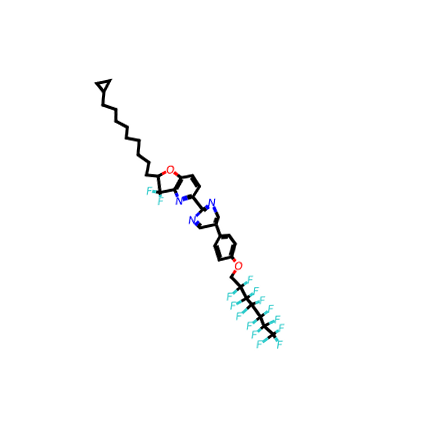 FC1(F)c2nc(-c3ncc(-c4ccc(OCC(F)(F)C(F)(F)C(F)(F)C(F)(F)C(F)(F)C(F)(F)F)cc4)cn3)ccc2OC1CCCCCCCCCC1CC1